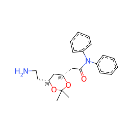 CC1(C)O[C@H](CCN)C[C@H](CC(=O)N(c2ccccc2)c2ccccc2)O1